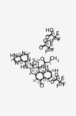 CCC(=O)N[C@]1(c2c(CCNc3ncnc4[nH]cnc34)cc(Cl)c3cccnc23)CCNC1.O=C(O)C(F)(F)F.O=C(O)C(F)(F)F.O=C(O)C(F)(F)F